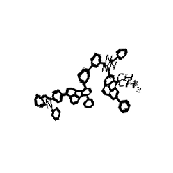 CC1(C)c2cc(-c3ccccc3)cc3ccc4cc(-c5nc(-c6ccccc6)nc(-c6cccc(-c7cccc(-c8ccc(-c9ccccc9)c9c8-c8ccc(-c%10ccc(-c%11cc%12ccccc%12n%11-c%11ccccc%11)cc%10)c%10cccc-9c8%10)c7)c6)n5)cc1c4c23